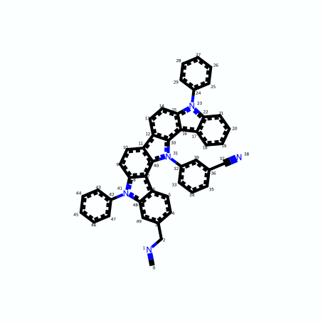 C=NCc1ccc2c3c(ccc4c5ccc6c(c7ccccc7n6-c6ccccc6)c5n(-c5cccc(C#N)c5)c43)n(-c3ccccc3)c2c1